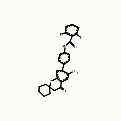 Cc1cc2c(cc1-c1ccc(NC(=O)c3c(F)cccc3F)cc1)OC1(CCCCC1)CC2=O